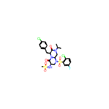 CC(C)N1CC2N(C(=O)C(NS(C)(=O)=O)CN2S(=O)(=O)c2cc(F)ccc2Cl)C(Cc2ccc(Cl)cc2)C1=O